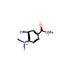 CCc1cc(C(=O)OC)ccc1N(C)C